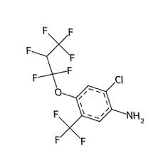 Nc1cc(C(F)(F)F)c(OC(F)(F)C(F)C(F)(F)F)cc1Cl